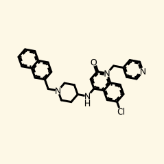 O=c1cc(NC2CCN(Cc3ccc4ccccc4c3)CC2)c2cc(Cl)ccc2n1Cc1ccncc1